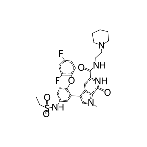 CCS(=O)(=O)Nc1ccc(Oc2ccc(F)cc2F)c(-c2cn(C)c3c(=O)[nH]c(C(=O)NCCN4CCCCC4)cc23)c1